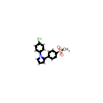 CS(=O)(=O)c1ccc(-c2cccn2-c2ccc(F)cc2)cc1